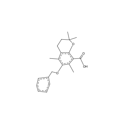 Cc1c2c(c(C(=O)O)c(C)c1OCc1ccccc1)OC(C)(C)CC2